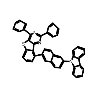 c1ccc(-c2nc(-c3ccccc3)c3sc4cccc(-c5ccc6cc(-n7c8ccccc8c8ccccc87)ccc6c5)c4c3n2)cc1